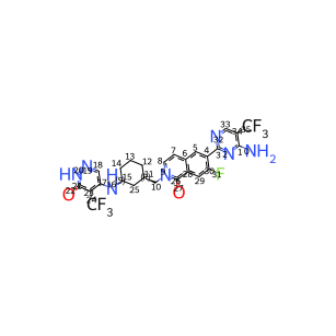 Nc1nc(-c2cc3ccn(C[C@@H]4CCC[C@H](Nc5cn[nH]c(=O)c5C(F)(F)F)C4)c(=O)c3cc2F)ncc1C(F)(F)F